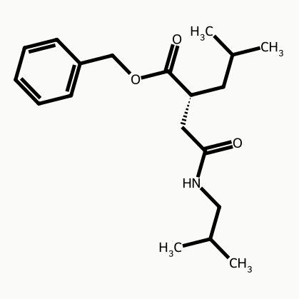 CC(C)CNC(=O)C[C@@H](CC(C)C)C(=O)OCc1ccccc1